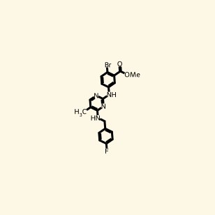 COC(=O)c1cc(Nc2ncc(C)c(NCc3ccc(F)cc3)n2)ccc1Br